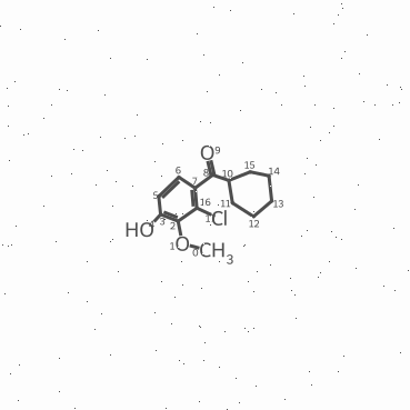 COc1c(O)ccc(C(=O)C2CCCCC2)c1Cl